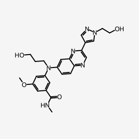 CNC(=O)c1cc(OC)cc(N(CCCO)c2ccc3ncc(-c4cnn(CCO)c4)nc3c2)c1